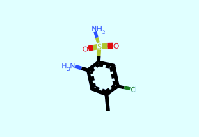 Cc1cc(N)c(S(N)(=O)=O)cc1Cl